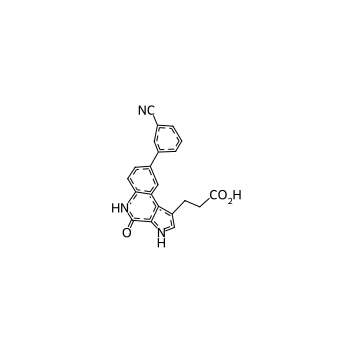 N#Cc1cccc(-c2ccc3[nH]c(=O)c4[nH]cc(CCC(=O)O)c4c3c2)c1